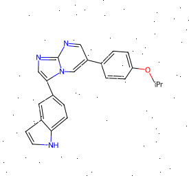 CC(C)Oc1ccc(-c2cnc3ncc(-c4ccc5[nH]ccc5c4)n3c2)cc1